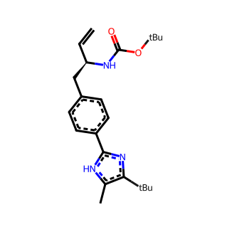 C=C[C@H](Cc1ccc(-c2nc(C(C)(C)C)c(C)[nH]2)cc1)NC(=O)OC(C)(C)C